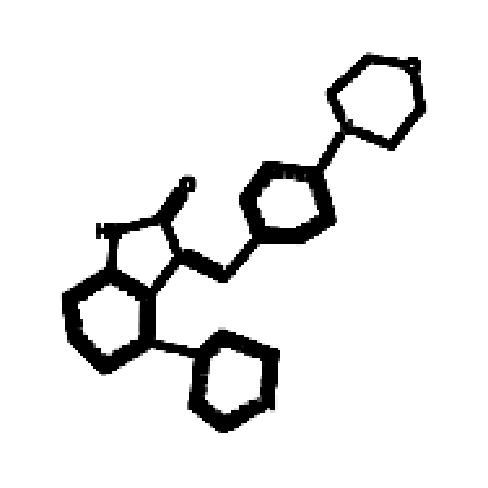 O=C1Nc2cccc(-c3ccncc3)c2C1=Cc1ccc(N2CCOCC2)cc1